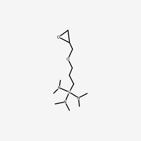 CN(C)[Si](CCCOCC1CO1)(N(C)C)N(C)C